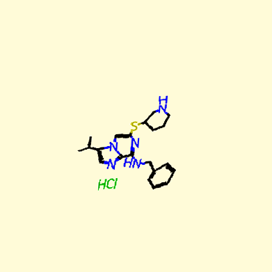 CC(C)c1cnc2c(NCc3ccccc3)nc(SC3CCCNC3)cn12.Cl